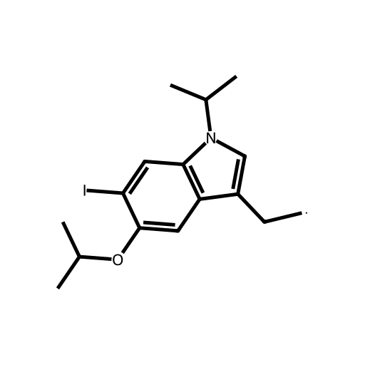 [CH2]Cc1cn(C(C)C)c2cc(I)c(OC(C)C)cc12